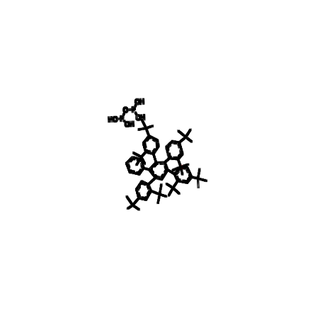 CC(C)(C)c1ccc(-c2cc(-c3ccc(C(C)(C)C)cc3C(C)(C)C)c(-c3ccc(C(C)(C)C)cc3C(C)(C)C)c(-c3ccc(C(C)(C)C)cc3C(C)(C)C)c2-c2ccccc2)c(C(C)(C)C)c1.OP(O)OP(O)O